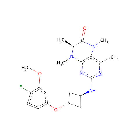 COc1cc(O[C@H]2C[C@H](Nc3nc(C)c4c(n3)N(C)[C@@H](C)C(=O)N4C)C2)ccc1F